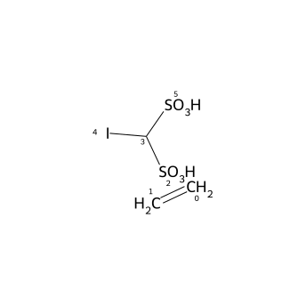 C=C.O=S(=O)(O)C(I)S(=O)(=O)O